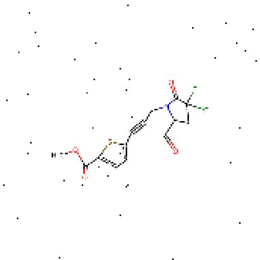 COC(=O)c1ccc(C#CCN2C(=O)C(F)(F)CC2C=O)s1